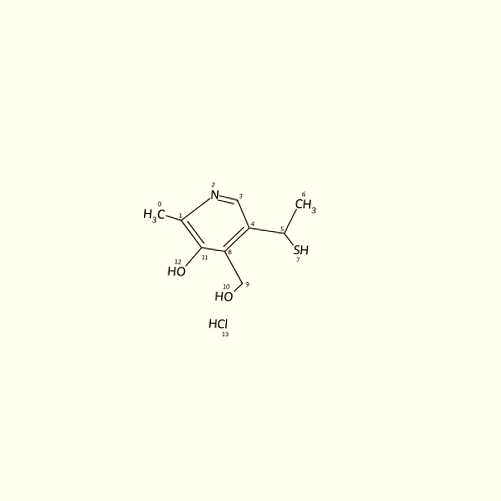 Cc1ncc(C(C)S)c(CO)c1O.Cl